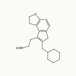 CC(=O)NCCC1=C(CC2CCCCC2)Cc2ccc3c(c21)CCO3